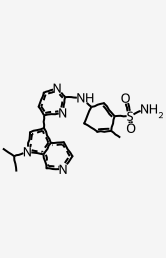 CC1=CCC(Nc2nccc(-c3cn(C(C)C)c4cnccc34)n2)C=C1S(N)(=O)=O